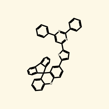 c1ccc(-c2cc(-c3ccc(-c4ccc5c(c4)C4(c6ccccc6O5)c5ccccc5-c5ccccc54)s3)nc(-c3ccccc3)n2)cc1